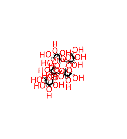 OC[C@H]1O[C@](CO[C@@]2(CO[C@]3(CO)O[C@H](CO)[C@@H](O)[C@@H]3O)O[C@H](CO)[C@@H](O)[C@@H]2O)(OC[C@@]2(O[C@H]3O[C@H](CO)[C@@H](O)[C@H](O)[C@H]3O)O[C@H](CO)[C@@H](O)[C@@H]2O)[C@@H](O)[C@@H]1O